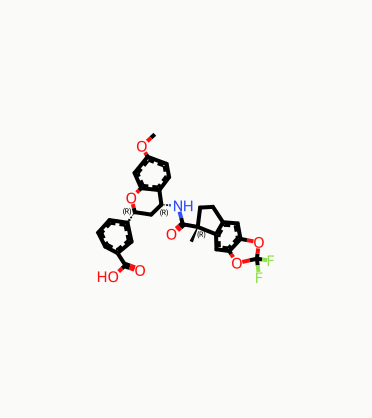 COc1ccc2c(c1)O[C@@H](c1cccc(C(=O)O)c1)C[C@H]2NC(=O)[C@]1(C)CCc2cc3c(cc21)OC(F)(F)O3